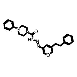 O=C(NN=NC1=COCC(CCc2ccccc2)=C1)N1CCN(c2ccccc2)CC1